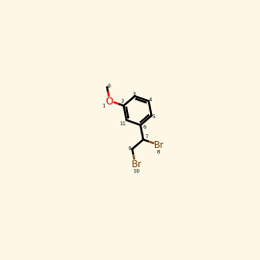 COc1cccc(C(Br)CBr)c1